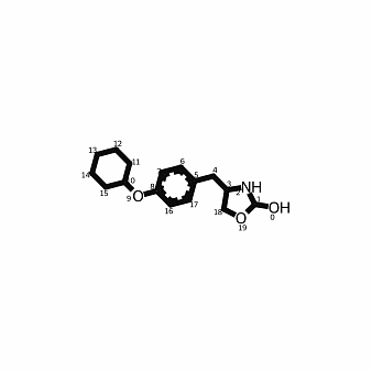 OC1NC(Cc2ccc(OC3CCCCC3)cc2)CO1